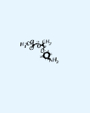 C=C(COc1ccc(N)cc1)OCC(=O)OC